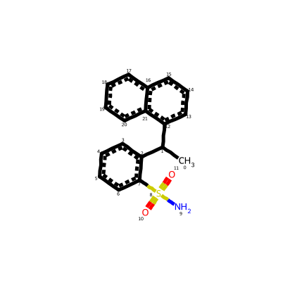 CC(c1ccccc1S(N)(=O)=O)c1cccc2ccccc12